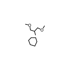 C1CCCCC1.COCC(C)COC